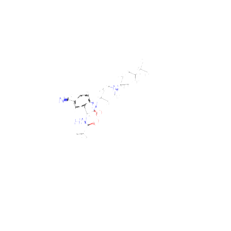 CC(C)C(=O)NC1C(=O)N(C2CCN(C3CCC(C(C)C)CC3)CC2)c2ccc(C#N)cc21